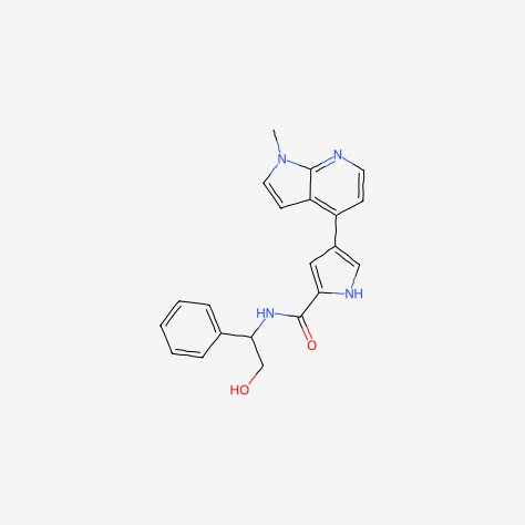 Cn1ccc2c(-c3c[nH]c(C(=O)NC(CO)c4ccccc4)c3)ccnc21